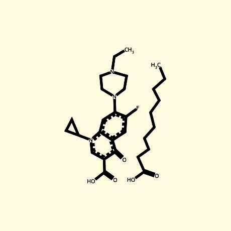 CCCCCCCCCC(=O)O.CCN1CCN(c2cc3c(cc2F)c(=O)c(C(=O)O)cn3C2CC2)CC1